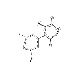 N#Cc1ncc(Cl)c(-c2cc(F)cc(F)c2)c1F